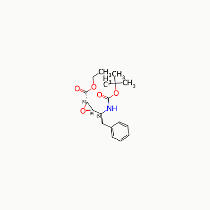 CCOC(=O)[C@H]1O[C@@H]1[C@H](Cc1ccccc1)NC(=O)OC(C)(C)C